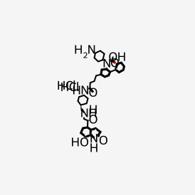 Cl.Cl.N[C@H]1CC[C@H](N(C(=O)O)c2cc(CCCC(=O)N[C@H]3CC[C@H](CNC[C@H](O)c4ccc(O)c5[nH]c(=O)ccc45)CC3)ccc2-c2ccccc2)CC1